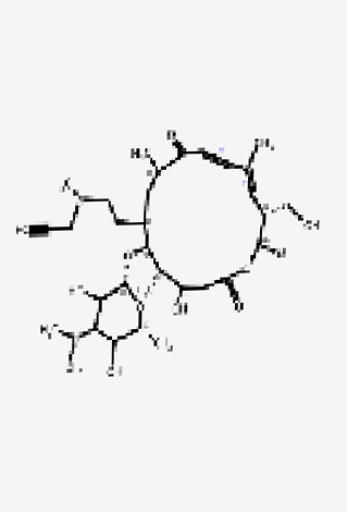 C#CCN(C)CC[C@H]1C[C@@H](C)C(=O)/C=C/C(C)=C/[C@H](CO)[C@@H](CC)OC(=O)C[C@@H](O)[C@H](C)[C@H]1O[C@@H]1O[C@H](C)C(O)C(N(C)C)C1O